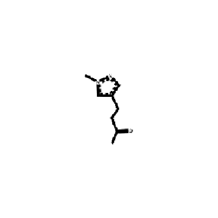 CC(=O)CCc1cnn(C)c1